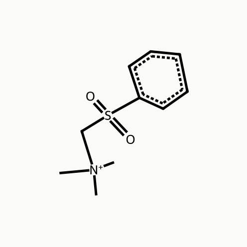 C[N+](C)(C)CS(=O)(=O)c1ccccc1